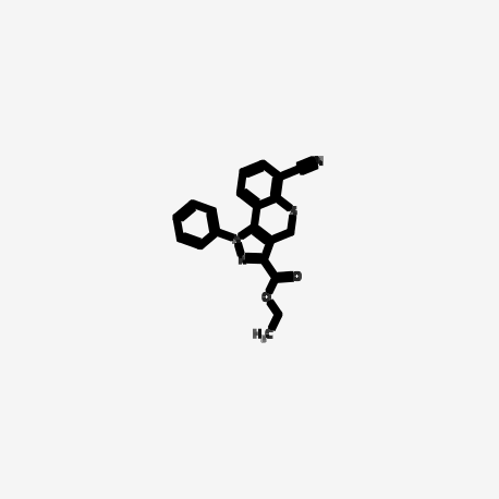 CCOC(=O)c1nn(-c2ccccc2)c2c1CSc1c(C#N)cccc1-2